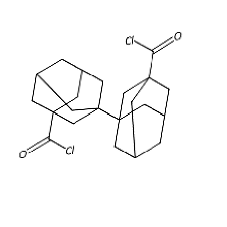 O=C(Cl)C12CC3CC(C1)CC(C14CC5CC(CC(C(=O)Cl)(C5)C1)C4)(C3)C2